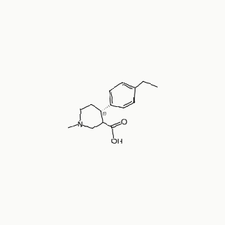 CCc1ccc([C@H]2CCN(C)CC2C(=O)O)cc1